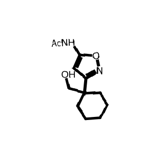 CC(=O)Nc1cc(C2(CO)CCCCC2)no1